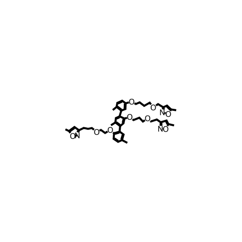 Cc1ccc(OCCOCCCc2cc(C)on2)c(-c2cc(OCCCOCCc3cc(C)on3)c(-c3cc(OCCCCOCc4cc(C)on4)ccc3C)cc2C)c1